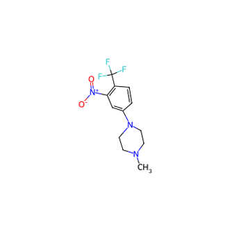 CN1CCN(c2ccc(C(F)(F)F)c([N+](=O)[O-])c2)CC1